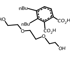 CCCCc1ccc(C(=O)O)c(C(=O)O)c1CCCC.OCCOCCOCCO